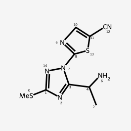 CSc1nc(C(C)N)n(-c2ncc(C#N)s2)n1